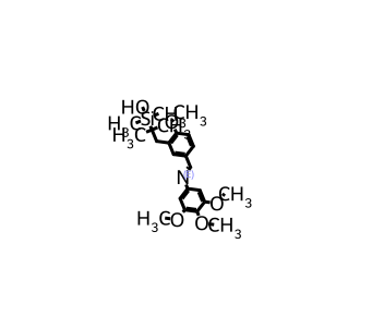 COc1ccc(/C=N/c2cc(OC)c(OC)c(OC)c2)cc1CC(C)(C)[Si](C)(C)O